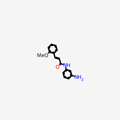 COc1ccccc1/C=C/C(=O)Nc1cccc(N)c1